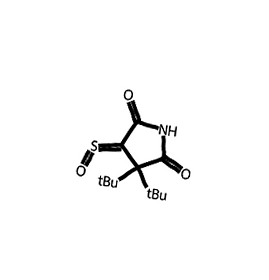 CC(C)(C)C1(C(C)(C)C)C(=O)NC(=O)C1=S=O